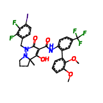 COc1cccc(-c2cc(C(F)(F)F)ccc2NC(=O)C2=C(O)C3(C)CCCN3N(Cc3ccc(I)c(F)c3F)C2=O)c1OC